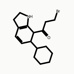 O=C(CCBr)C1C2=C(C=CC1C1CCCCC1)CCN2